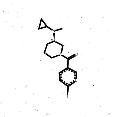 CN(C1CC1)[C@@H]1CCCN(C(=O)c2ccc(I)nc2)C1